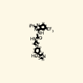 CC(C)c1nc(NCC(=O)NC2CN([C@H]3CC[C@](O)(c4cncs4)CC3)C2)c2cc(C(F)(F)F)ccc2n1